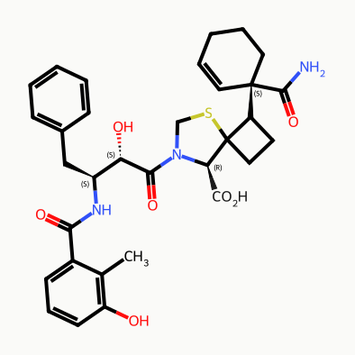 Cc1c(O)cccc1C(=O)N[C@@H](Cc1ccccc1)[C@H](O)C(=O)N1CSC2(CCC2[C@@]2(C(N)=O)C=CCCC2)[C@H]1C(=O)O